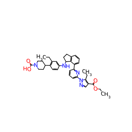 CCOC(=O)c1cnn(-c2cccc(-c3cccc4c3C(Nc3ccc(C5CCN(C(=O)O)CC5)c(CC)c3)CC4)n2)c1CC